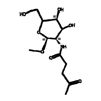 CO[C@H]1OC(CO)[C@@H](O)C(O)[C@@H]1NC(=O)CCC(C)=O